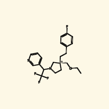 CCOC[C@]1(CCc2ccc(F)cc2)CCN(C(c2cccnc2)C(F)(F)F)C1